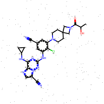 CC(O)C(=O)N1CC2(CCN(c3cc(C#N)cc(Nc4nc(NC5CC5)c5ncc(C#N)n5n4)c3Cl)CC2)C1